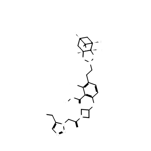 Cc1c(CCB2O[C@@H]3C[C@@H]4C[C@@H](C4(C)C)[C@]3(C)O2)ccc(OC2CN(C(=O)Cn3nncc3CO)C2)c1C(=O)OC(C)(C)C